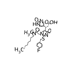 CCCCCCCCN(C)C(=O)Cn1cc(C(CC(=O)O)c2cnc(=O)[nH]c2)c(=O)nc1SCc1ccc(F)cc1